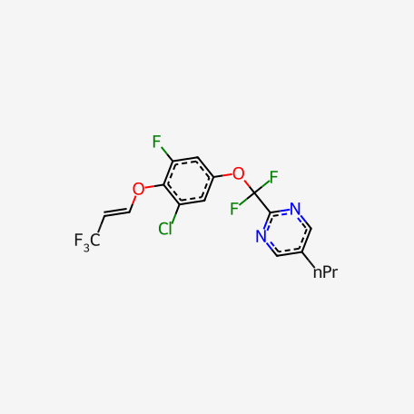 CCCc1cnc(C(F)(F)Oc2cc(F)c(O/C=C/C(F)(F)F)c(Cl)c2)nc1